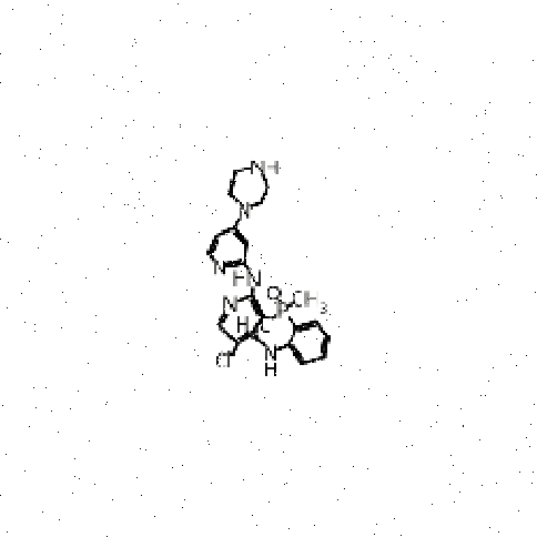 CP(C)(=O)c1ccccc1Nc1cc(Nc2cc(N3CCNCC3)ccn2)ncc1Cl